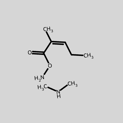 CCC=C(C)C(=O)ON.CNC